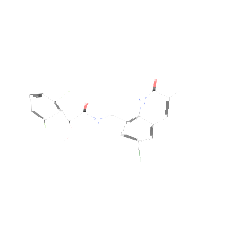 CCOC(C(=O)NCc1cc(Cl)cc2cc(C(=O)O)c(=O)[nH]c12)c1c(F)cccc1F